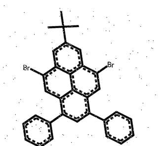 CC(C)(C)c1cc2c(Br)cc3c(-c4ccccc4)cc(-c4ccccc4)c4cc(Br)c(c1)c2c34